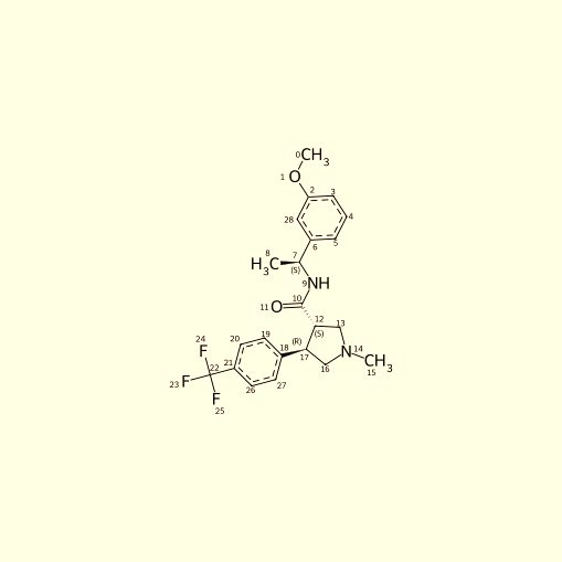 COc1cccc([C@H](C)NC(=O)[C@@H]2CN(C)C[C@H]2c2ccc(C(F)(F)F)cc2)c1